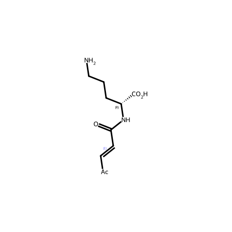 CC(=O)/C=C/C(=O)N[C@H](CCCN)C(=O)O